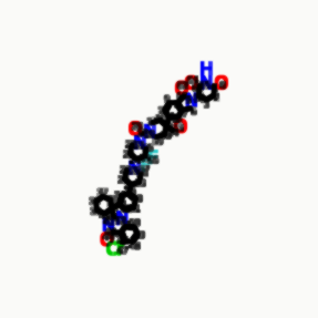 O=C1CC[C@H](N2Cc3c(ccc4c3OCC43CCN(C(=O)N4CCC(N5CCC(c6ccc7c(c6)C6(CCCCC6)c6nc(=O)c8c(Cl)cccc8n6-7)CC5)C(F)(F)C4)CC3)C2=O)C(=O)N1